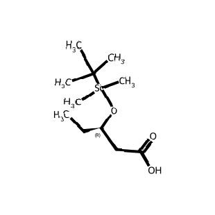 CC[C@H](CC(=O)O)O[Si](C)(C)C(C)(C)C